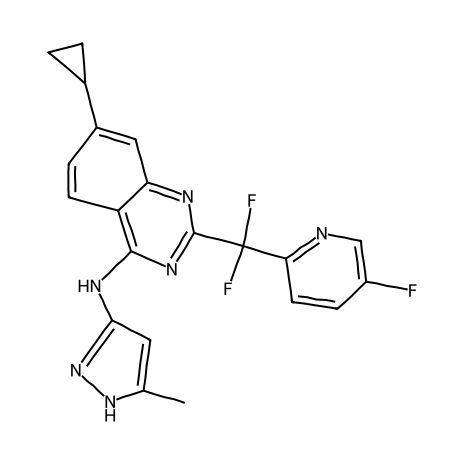 Cc1cc(Nc2nc(C(F)(F)c3ccc(F)cn3)nc3cc(C4CC4)ccc23)n[nH]1